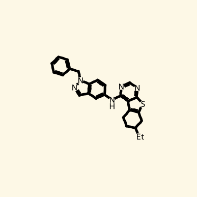 [CH2]CC1CCc2c(sc3ncnc(Nc4ccc5c(cnn5Cc5ccccc5)c4)c23)C1